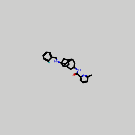 Cc1cccc(C(=O)NC2CC3CC4CC(NCc5ccccc5F)(C3)CC4C2)n1